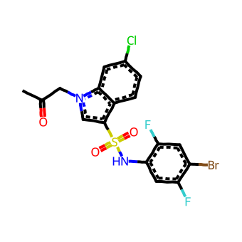 CC(=O)Cn1cc(S(=O)(=O)Nc2cc(F)c(Br)cc2F)c2ccc(Cl)cc21